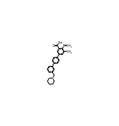 C=Nc1c(C)cc(-c2ccc(-c3cccc(CN4CCCCC4)c3)cc2)cc1C(=O)O